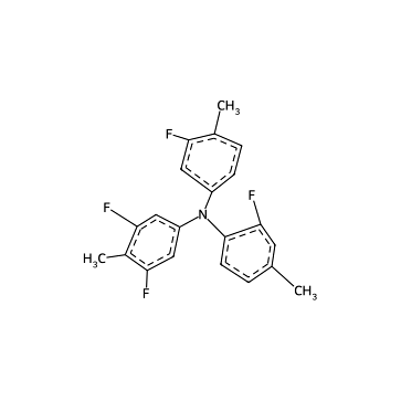 Cc1ccc(N(c2ccc(C)c(F)c2)c2cc(F)c(C)c(F)c2)c(F)c1